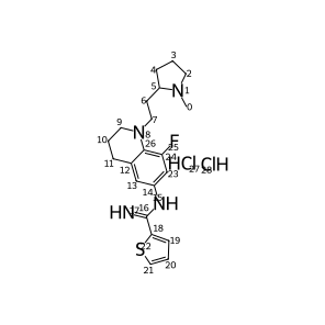 CN1CCCC1CCN1CCCc2cc(NC(=N)c3cccs3)cc(F)c21.Cl.Cl